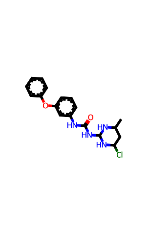 CC1CC(Cl)NC(NC(=O)Nc2cccc(Oc3ccccc3)c2)N1